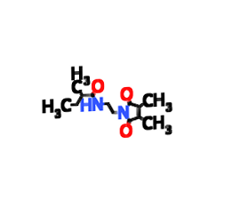 CCC(C)C(=O)NCCN1C(=O)C(C)=C(C)C1=O